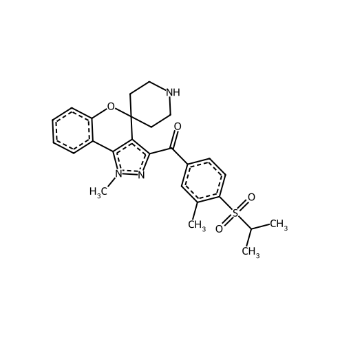 Cc1cc(C(=O)c2nn(C)c3c2C2(CCNCC2)Oc2ccccc2-3)ccc1S(=O)(=O)C(C)C